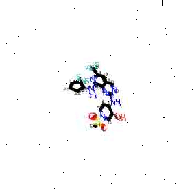 CS(=O)(=O)N1CC[C@H](Nc2ncc3cc(C(F)F)nc(N[C@H]4CCCC4(F)F)c3n2)[C@H](O)C1